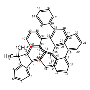 CC1(C)c2ccccc2-c2cc(N(c3ccccc3-c3ccccc3)c3cccc(-c4ccccc4)c3-c3ccccc3-c3ccccc3)ccc21